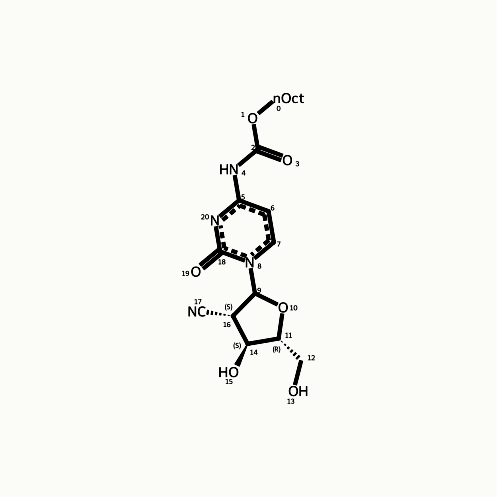 CCCCCCCCOC(=O)Nc1ccn(C2O[C@H](CO)[C@@H](O)[C@@H]2C#N)c(=O)n1